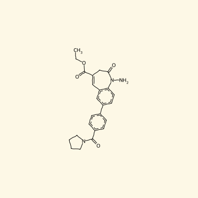 CCOC(=O)C1=Cc2cc(-c3ccc(C(=O)N4CCCC4)cc3)ccc2N(N)C(=O)C1